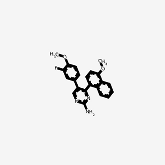 COc1ccc(-c2cnc(N)nc2-c2ccc(OC)c3ccccc23)cc1F